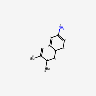 C=C(C(CC1C=CC(N)=CC1)C(C)(C)C)C(C)(C)C